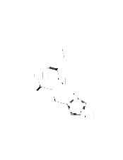 CCOC(=S)N[C@@H](Cc1c[nH]cn1)C(=O)O